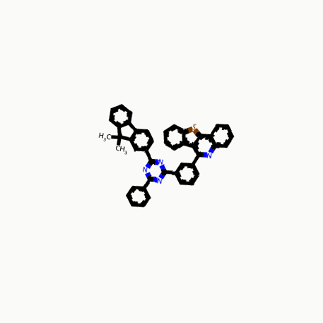 CC1(C)c2ccccc2-c2ccc(-c3nc(-c4ccccc4)nc(-c4cccc(-c5nc6ccccc6c6sc7ccccc7c56)c4)n3)cc21